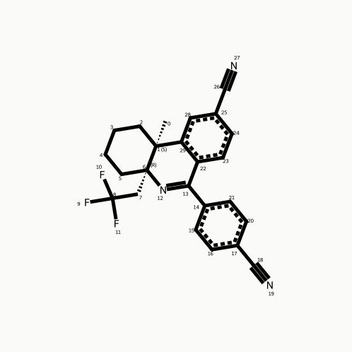 C[C@@]12CCCC[C@]1(CC(F)(F)F)N=C(c1ccc(C#N)cc1)c1ccc(C#N)cc12